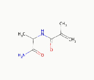 C=C(C)C(=O)NC(C)C(N)=O